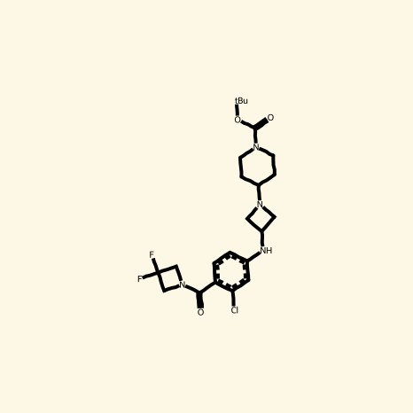 CC(C)(C)OC(=O)N1CCC(N2CC(Nc3ccc(C(=O)N4CC(F)(F)C4)c(Cl)c3)C2)CC1